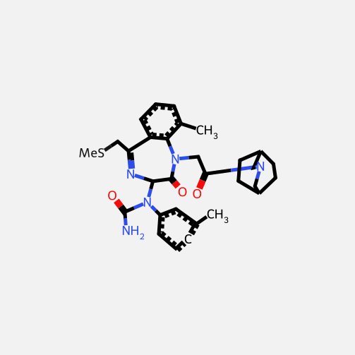 CSCC1=NC(N(C(N)=O)c2cccc(C)c2)C(=O)N(CC(=O)N2CC3CCC(CC3)C2)c2c(C)cccc21